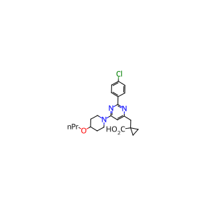 CCCOC1CCN(c2cc(CC3(C(=O)O)CC3)nc(-c3ccc(Cl)cc3)n2)CC1